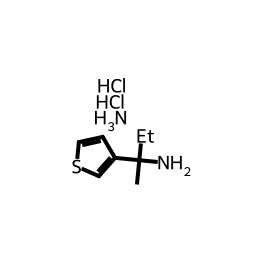 CCC(C)(N)c1ccsc1.Cl.Cl.N